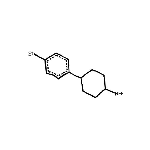 CCc1ccc(C2CCC([NH])CC2)cc1